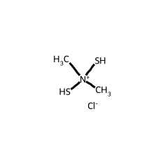 C[N+](C)(S)S.[Cl-]